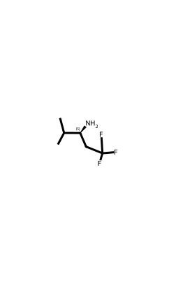 CC(C)[C@@H](N)CC(F)(F)F